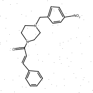 O=C(/C=C/c1ccccc1)N1CCN(Cc2ccc([N+](=O)[O-])cc2)CC1